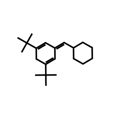 CC(C)(C)C1=CC(=CC2CCCCC2)C=C(C(C)(C)C)C1